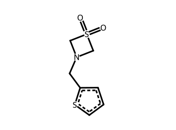 O=S1(=O)CN(Cc2cccs2)C1